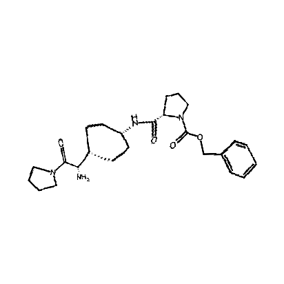 N[C@H](C(=O)N1CCCC1)[C@H]1CC[C@@H](NC(=O)[C@@H]2CCCN2C(=O)OCc2ccccc2)CC1